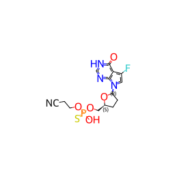 N#CCCOP(O)(=S)OC[C@@H]1CC[C@H](n2cc(F)c3c(=O)[nH]cnc32)O1